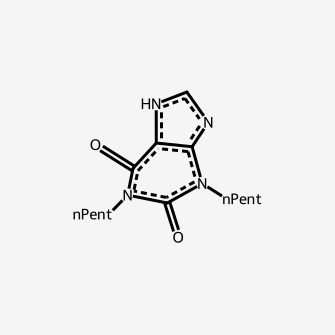 CCCCCn1c(=O)c2[nH]cnc2n(CCCCC)c1=O